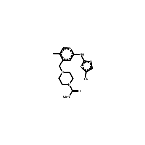 CNC(=O)N1CCN(Cc2cc(Nc3ncc(C#N)s3)ncc2C)CC1